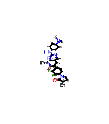 CCC1CCN(c2ccc(-c3cc4cnc(NC5CCC(N(C)C)CC5)nc4n(C(C)C)c3=O)c(F)c2F)C1=O